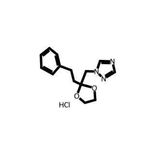 Cl.c1ccc(CCC2(Cn3cncn3)OCCO2)cc1